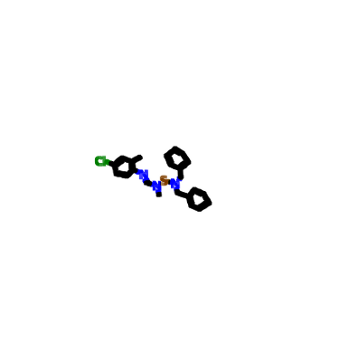 Cc1cc(Cl)ccc1/N=C/N(C)SN(Cc1ccccc1)Cc1ccccc1